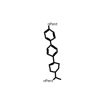 CCCCCc1ccc(-c2ccc(C3=CCC(C(C)CCCCC)CC3)cc2)cc1